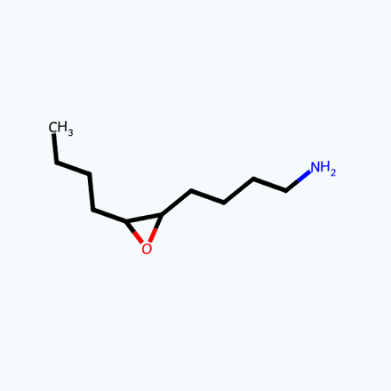 CCCCC1OC1CCCCN